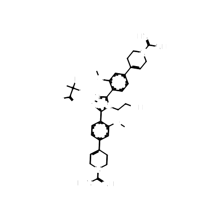 COc1cc(C2=CCN(C(=N)N)CC2)ccc1-c1nnc(-c2ccc(C3=CCN(C(=N)N)CC3)cc2OC)n1CCO.O=C(O)C(F)(F)F